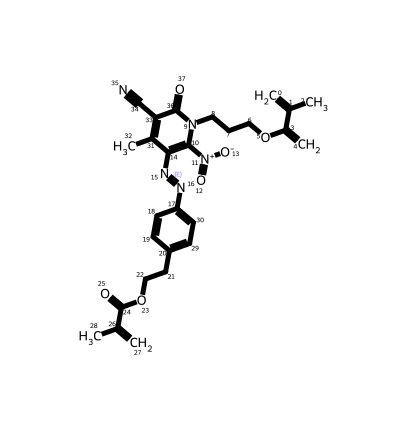 C=C(C)C(=C)OCCCn1c([N+](=O)[O-])c(/N=N/c2ccc(CCOC(=O)C(=C)C)cc2)c(C)c(C#N)c1=O